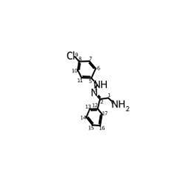 NCC(=NNc1ccc(Cl)cc1)c1ccccc1